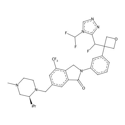 CC(C)[C@H]1CN(C)CCN1Cc1cc2c(c(C(F)(F)F)c1)CN(c1cccc(C3(C(F)c4nncn4C(F)F)COC3)c1)C2=O